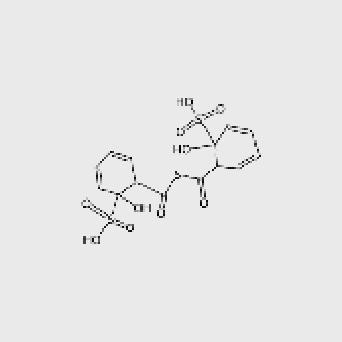 O=C(SC(=O)C1C=CC=CC1(O)S(=O)(=O)O)C1C=CC=CC1(O)S(=O)(=O)O